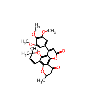 COc1cc(-c2cc(=O)oc3c4c(c5c(c23)OC(C)(C)C=C5)OC(C)CC4=O)cc(OC)c1OC